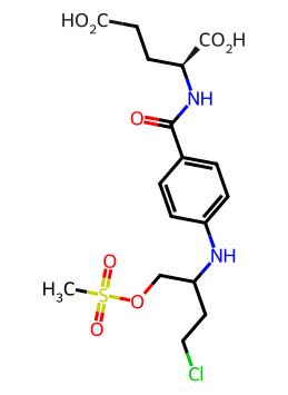 CS(=O)(=O)OCC(CCCl)Nc1ccc(C(=O)N[C@@H](CCC(=O)O)C(=O)O)cc1